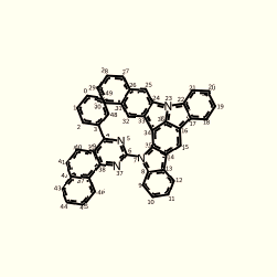 c1ccc(-c2nc(-n3c4ccccc4c4cc5c6ccccc6n6c7cc8ccccc8cc7c(c43)c56)nc3c2ccc2ccccc23)cc1